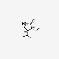 CC[C@H]1C(=O)NC[C@H]1C(C)C